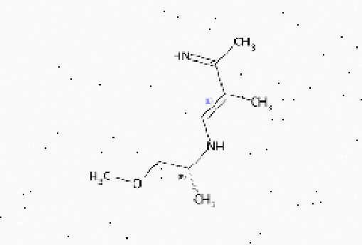 COC[C@@H](C)N/C=C(\C)C(C)=N